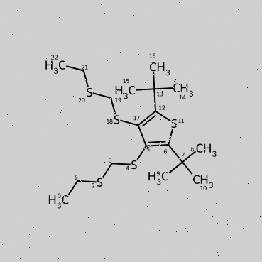 CCSCSc1c(C(C)(C)C)sc(C(C)(C)C)c1SCSCC